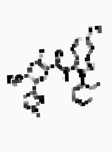 Cc1ccccc1-n1nc2cc(C#N)ccc2c1NC(=O)c1cc(-c2ccn(C)n2)c(C(F)(F)F)cc1F